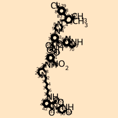 CC1(C)CCC(CN2CCN(c3ccc(C(=O)NS(=O)(=O)c4ccc(NCC5CCCN(CCCCCCNc6cccc7c6C(=O)N(C6CCC(=O)NC6=O)C7=O)C5)c([N+](=O)[O-])c4)c(Oc4cnc5[nH]ccc5c4)c3)CC2)=C(c2ccc(Cl)cc2)C1